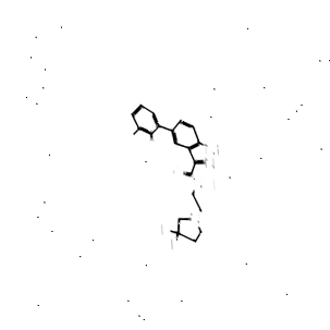 O=C(NCCN1CCC(F)(F)C1)c1n[nH]c2ccc(-c3cccc(F)c3F)cc12